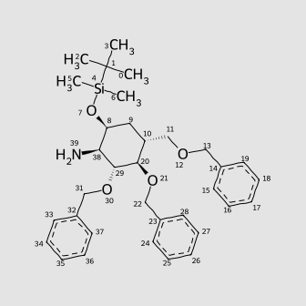 CC(C)(C)[Si](C)(C)O[C@H]1C[C@H](COCc2ccccc2)[C@@H](OCc2ccccc2)[C@H](OCc2ccccc2)[C@H]1N